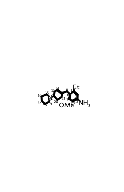 CCc1cc(N)c(OC)cc1CC1=CCC(N2CCCCC2)CC1